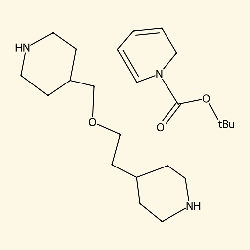 C1CC(CCOCC2CCNCC2)CCN1.CC(C)(C)OC(=O)N1C=CC=CC1